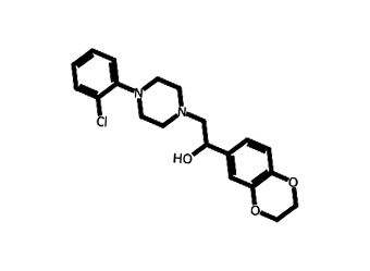 OC(CN1CCN(c2ccccc2Cl)CC1)c1ccc2c(c1)OCCO2